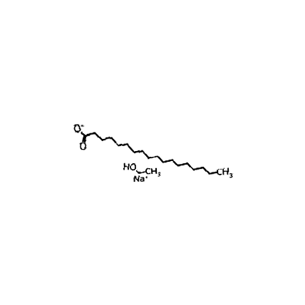 CCCCCCCCCCCCCCCCCC(=O)[O-].CCO.[Na+]